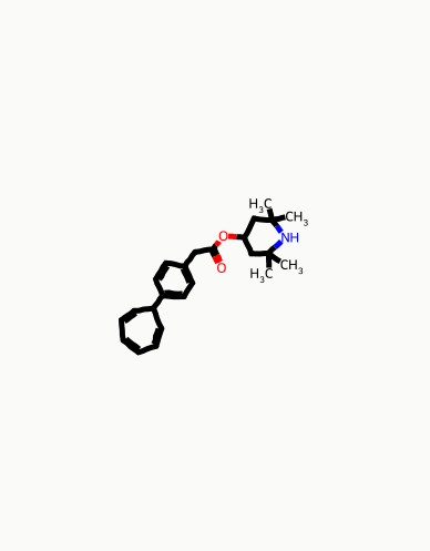 CC1(C)CC(OC(=O)Cc2ccc(C3C=CC=CC=C3)cc2)CC(C)(C)N1